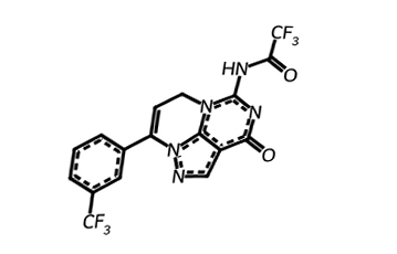 O=C(Nc1nc(=O)c2cnn3c2n1CC=C3c1cccc(C(F)(F)F)c1)C(F)(F)F